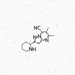 Cc1nc2cc([C@@H]3CCCCN3)nn2c(C#N)c1C